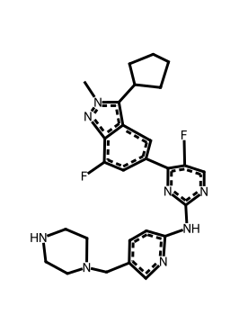 Cn1nc2c(F)cc(-c3nc(Nc4ccc(CN5CCNCC5)cn4)ncc3F)cc2c1C1CCCC1